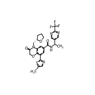 Cc1cnc(-c2cc(C(=O)NC(C)c3cnc(C(F)(F)F)nc3)cc3c2OCC(=O)N3C[C@@H]2CCCO2)s1